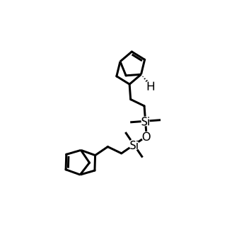 C[Si](C)(CCC1CC2C=CC1C2)O[Si](C)(C)CCC1CC2C=C[C@@H]1C2